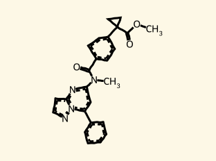 COC(=O)C1(c2ccc(C(=O)N(C)c3cc(-c4ccccc4)n4nccc4n3)cc2)CC1